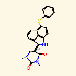 CN1C/C(=c2/[nH]c3ccc(Sc4ccccc4)c4cccc2c34)C(=O)N(C)C1=O